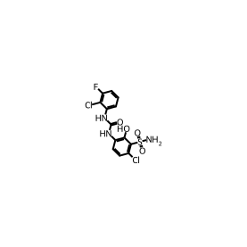 NS(=O)(=O)c1c(Cl)ccc(NC(=O)Nc2cccc(F)c2Cl)c1O